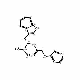 O=C(COc1cccnc1)N[C@@H](Cc1coc2ccccc12)B(O)O